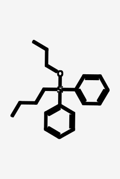 CCCC[Si](OCCC)(c1ccccc1)c1ccccc1